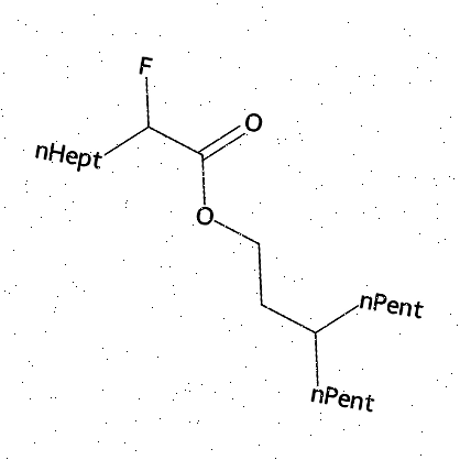 CCCCCCCC(F)C(=O)OCCC(CCCCC)CCCCC